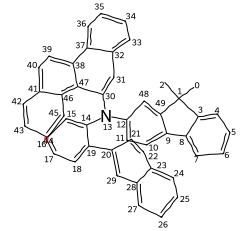 CC1(C)c2ccccc2-c2ccc(N(c3ccccc3-c3ccc4ccccc4c3)c3cc4ccccc4c4ccc5ccccc5c34)cc21